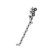 O=C(COCCOCCOCCOCCOCCOCCOCCO)OC[C@@H]1CN(c2ccc3cc(-c4ccccc4C(F)(F)F)[nH]c(=O)c3c2)C(=O)O1